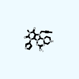 CC#CCN1c2c(n(-c3ccoc3)c(=O)n(C)c2=O)N(OC(=O)C(F)(F)F)C1N1CCNCC1